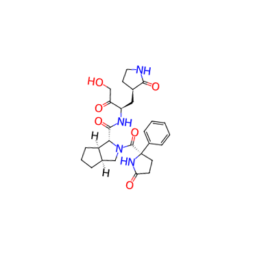 O=C1CC[C@](C(=O)N2C[C@H]3CCC[C@H]3[C@@H]2C(=O)N[C@H](C[C@H]2CCNC2=O)C(=O)CO)(c2ccccc2)N1